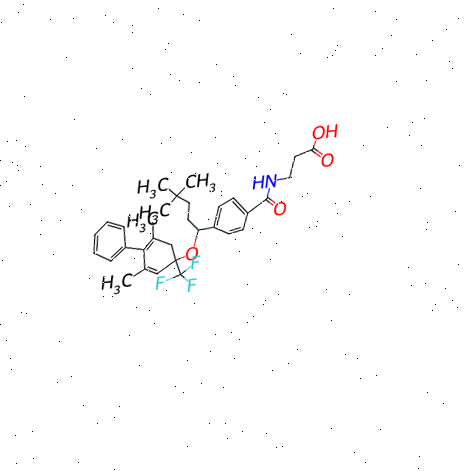 CC1=CC(OC(CCC(C)(C)C)c2ccc(C(=O)NCCC(=O)O)cc2)(C(F)(F)F)CC(C)=C1c1ccccc1